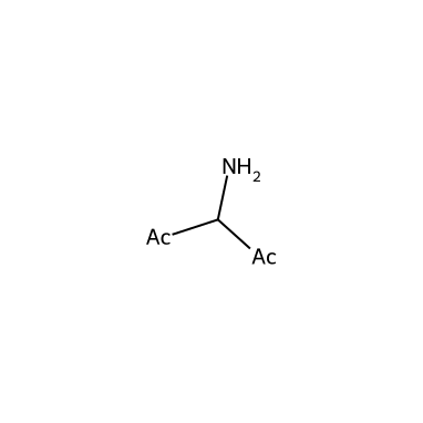 CC(=O)C(N)C(C)=O